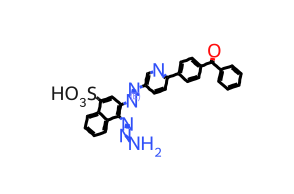 NN=Nc1c(/N=N/c2ccc(-c3ccc(C(=O)c4ccccc4)cc3)nc2)cc(S(=O)(=O)O)c2ccccc12